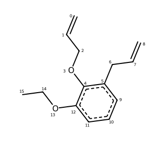 C=CCOc1c(CC=C)cccc1OCC